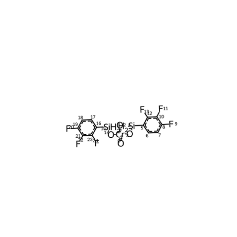 [O]=[Cr](=[O])([O][SiH2]c1ccc(F)c(F)c1F)[O][SiH2]c1ccc(F)c(F)c1F